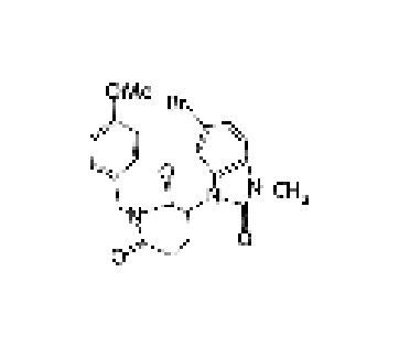 COc1ccc(CN2C(=O)CCC(n3c(=O)n(C)c4ccc(Br)cc43)C2=O)cc1